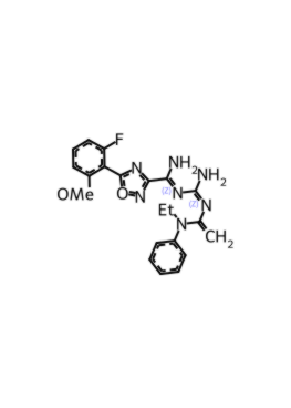 C=C(/N=C(N)\N=C(/N)c1noc(-c2c(F)cccc2OC)n1)N(CC)c1ccccc1